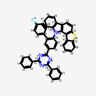 Fc1c#cc(-c2cc(-c3nc(-c4ccccc4)nc(-c4ccccc4)n3)ccc2-n2c3c(c4ccc5sc6ccccc6c5c42)C=CCC3)cc1